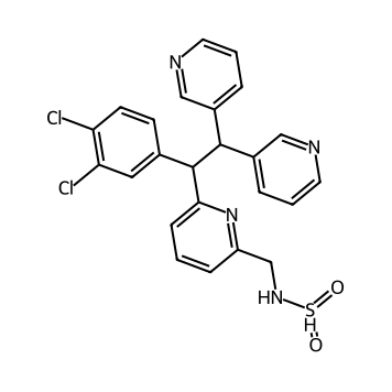 O=[SH](=O)NCc1cccc(C(c2ccc(Cl)c(Cl)c2)C(c2cccnc2)c2cccnc2)n1